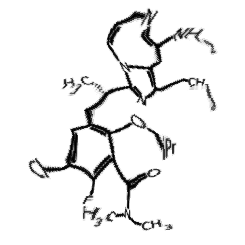 Cc1nc([C@@H](C)c2cc(Cl)c(F)c(C(=O)N(C)C)c2OC(C)C)n2ccnc(N)c12